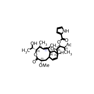 CO[C@H]1CC2C=C[C@@H]3C[C@]2(O[C@H]3[C@H](OC(=O)c2ccc[nH]2)[C@H](C)C(C)=O)/C(C)=C/[C@@H](C)[C@@H](C(C)O)OC1=O